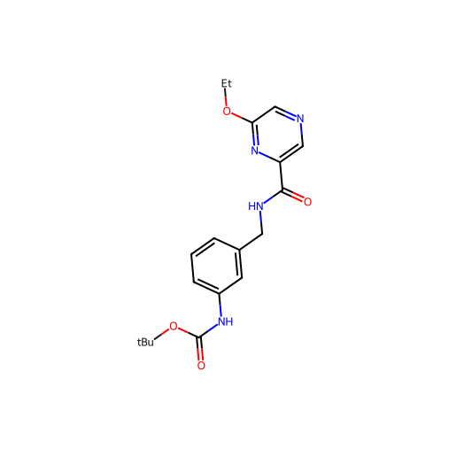 CCOc1cncc(C(=O)NCc2cccc(NC(=O)OC(C)(C)C)c2)n1